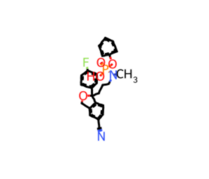 CN(CCCC1(c2ccc(F)cc2)OCc2cc(C#N)ccc21)P(=O)(O)Oc1ccccc1